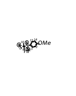 COc1ccc(S(=O)(=O)C(C)(C)[S+]=O)cc1.F